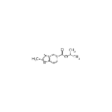 Cc1nc2ccc(C(=O)OC(C)C)cc2s1